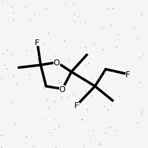 CC1(F)COC(C)(C(C)(F)CF)O1